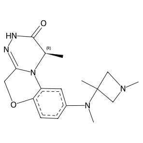 C[C@@H]1C(=O)NN=C2COc3ccc(N(C)C4(C)CN(C)C4)cc3N21